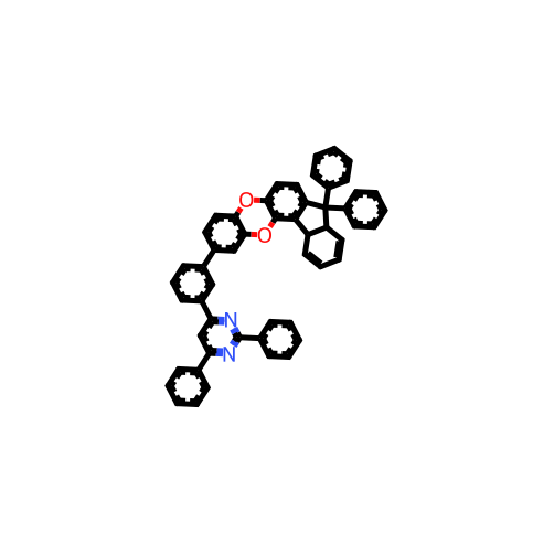 C1=CC2c3c(ccc4c3Oc3cc(-c5cccc(-c6cc(-c7ccccc7)nc(-c7ccccc7)n6)c5)ccc3O4)C(c3ccccc3)(c3ccccc3)C2C=C1